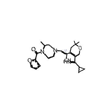 CC1CN(/C=C(\C#N)C2=C(C(=N)C3CC3)COC(C)(C)C2)CCN1C(=O)c1ccco1